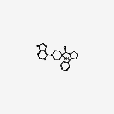 NC1(C(=O)N2CCCC2c2ccccc2)CCN(c2ncnc3[nH]ccc23)CC1